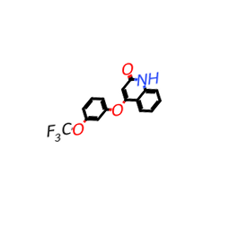 O=c1cc(Oc2cccc(OC(F)(F)F)c2)c2ccccc2[nH]1